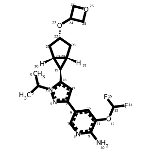 CC(C)n1nc(-c2cnc(N)c(OC(F)F)c2)cc1[C@H]1[C@@H]2C[C@H](OC3COC3)C[C@@H]21